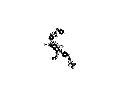 CN(CCS(=O)(=O)c1cccc(N=Nc2c(S(=O)(=O)O)cc3cc(SOOO)c(N=Nc4ccc(SC#COOS(=O)(=O)O)cc4)c(O)c3c2N)c1)c1ccccc1